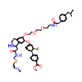 C=N/C=C\SCNC(=O)CC1NCCc2cc(OCCOCCOCCNC(=O)Cc3ccc(CC(C)C)cc3)c(Oc3ccc(-c4ccc(C(=O)OC)cc4)c(F)c3)cc21